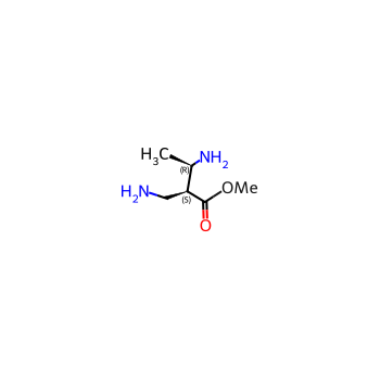 COC(=O)[C@@H](CN)[C@@H](C)N